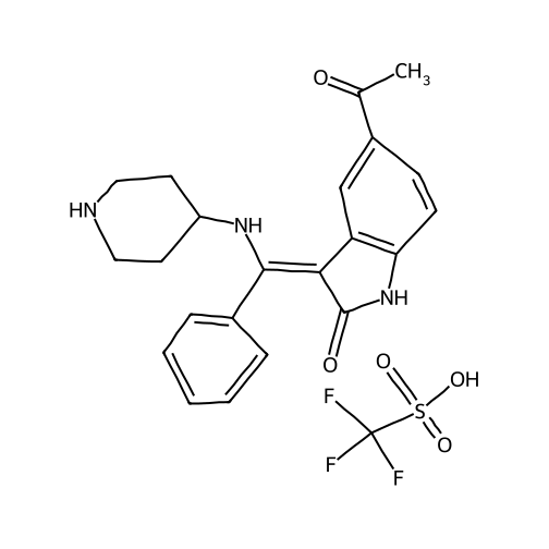 CC(=O)c1ccc2c(c1)C(=C(NC1CCNCC1)c1ccccc1)C(=O)N2.O=S(=O)(O)C(F)(F)F